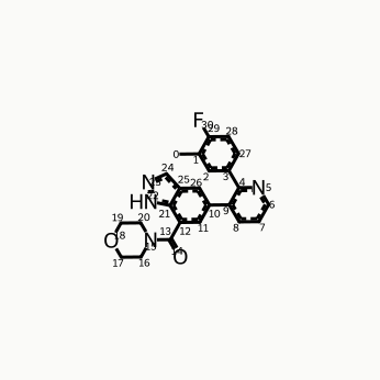 Cc1cc(-c2ncccc2-c2cc(C(=O)N3CCOCC3)c3[nH]ncc3c2)ccc1F